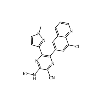 CCNc1nc(-c2ccn(C)n2)c(-c2cc(Cl)c3ncccc3c2)nc1C#N